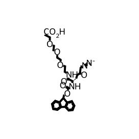 [N-]=[N+]=CC(=O)CC[C@H](NC(=O)OCC1c2ccccc2-c2ccccc21)C(=O)NCCOCCOCCOCCC(=O)O